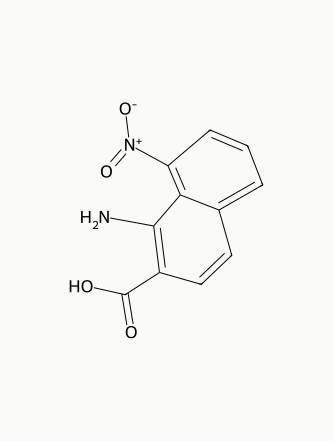 Nc1c(C(=O)O)ccc2cccc([N+](=O)[O-])c12